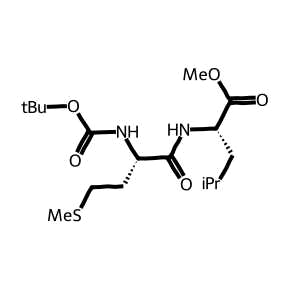 COC(=O)[C@H](CC(C)C)NC(=O)[C@H](CCSC)NC(=O)OC(C)(C)C